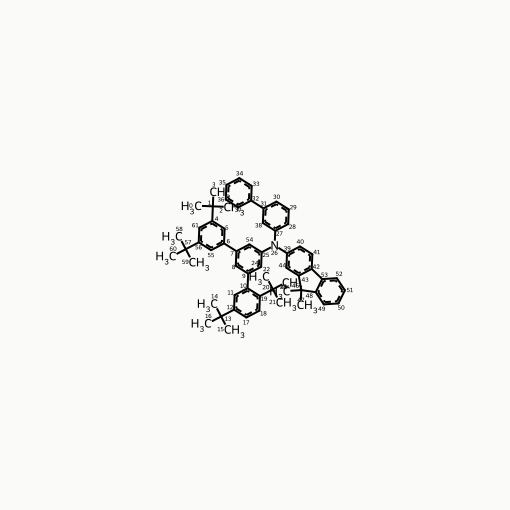 CC(C)(C)c1cc(-c2cc(-c3cc(C(C)(C)C)ccc3C(C)(C)C)cc(N(c3cccc(-c4ccccc4)c3)c3ccc4c(c3)C(C)(C)c3ccccc3-4)c2)cc(C(C)(C)C)c1